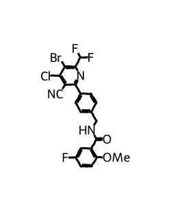 COc1ccc(F)cc1C(=O)NCc1ccc(-c2nc(C(F)F)c(Br)c(Cl)c2C#N)cc1